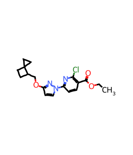 CCOC(=O)c1ccc(-n2ccc(OCC3CCC34CC4)n2)nc1Cl